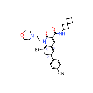 C\C=C(/C=c1/cc(C(=O)NC2CC3(CCC3)C2)c(=O)n(CCN2CCOCC2)/c1=C\CC)c1ccc(C#N)cc1